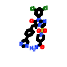 C[C@@]1(Cc2ccc(-c3cncnc3)cc2)C(=O)N(c2cc(Cl)cc(Cl)c2)c2ncc(S(=O)(=O)N3CCC(C(N)=O)CC3)n21